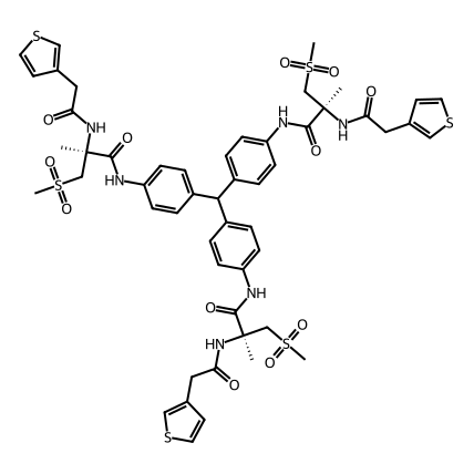 C[C@](CS(C)(=O)=O)(NC(=O)Cc1ccsc1)C(=O)Nc1ccc(C(c2ccc(NC(=O)[C@@](C)(CS(C)(=O)=O)NC(=O)Cc3ccsc3)cc2)c2ccc(NC(=O)[C@@](C)(CS(C)(=O)=O)NC(=O)Cc3ccsc3)cc2)cc1